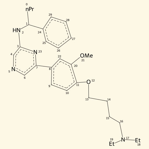 CCCC(Nc1cncc(-c2ccc(OCCCCN(CC)CC)c(OC)c2)n1)c1ccccc1